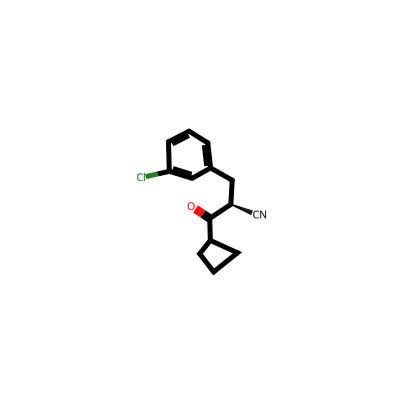 N#C[C@H](Cc1cccc(Cl)c1)C(=O)C1CCC1